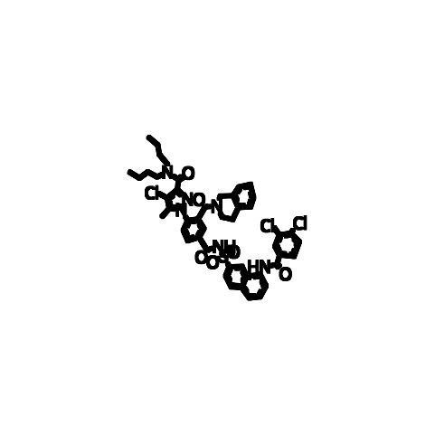 CCCCN(CCCC)C(=O)c1nn(-c2ccc(C(=O)NS(=O)(=O)c3ccc4cccc(NC(=O)c5ccc(Cl)c(Cl)c5)c4c3)cc2C(=O)N2CCc3ccccc3C2)c(C)c1Cl